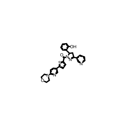 O=C(c1ccc(-c2ccc(N3CCOCC3)nc2)s1)N1N=C(c2cccnc2)CC1c1ccccc1O